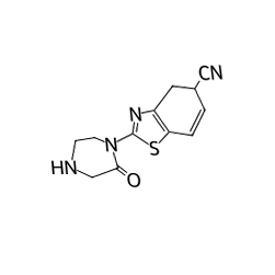 N#CC1C=Cc2sc(N3CCNCC3=O)nc2C1